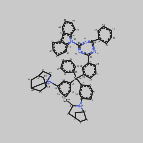 CCC1CC2CCC(C2)N1c1cccc([Si](c2ccccc2)(c2cccc(-c3nc(-c4ccccc4)nc(-n4c5ccccc5c5ccccc54)n3)c2)c2cccc(N3C4CC5CC(C4)CC3C5)c2)c1